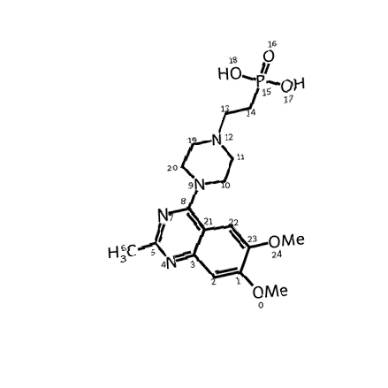 COc1cc2nc(C)nc(N3CCN(CCP(=O)(O)O)CC3)c2cc1OC